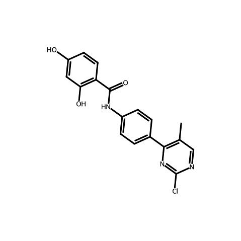 Cc1cnc(Cl)nc1-c1ccc(NC(=O)c2ccc(O)cc2O)cc1